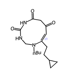 CCCCN1CNC(=O)NC(=O)CC(=O)/C=C\1CCC1CC1